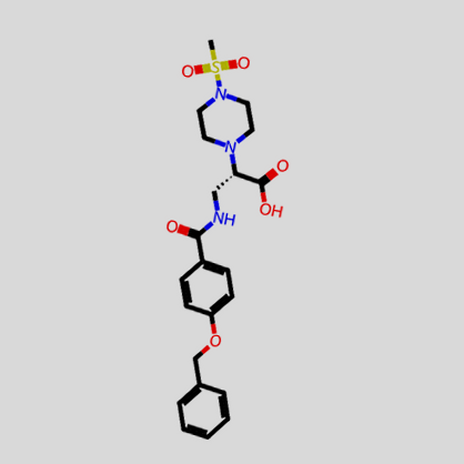 CS(=O)(=O)N1CCN([C@@H](CNC(=O)c2ccc(OCc3ccccc3)cc2)C(=O)O)CC1